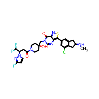 CNC1Cc2cc(-c3snc4c(=O)n(CC5(O)CCN(C(=O)CC(C(F)F)n6ccc(F)n6)CC5)cnc34)cc(Cl)c2C1